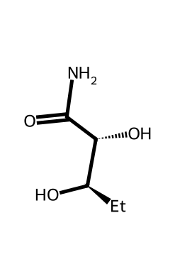 CC[C@@H](O)[C@@H](O)C(N)=O